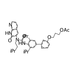 CC(=O)OCCCOc1cccc(-c2cc(C(C)C)c(NC(=O)N(CCC(C)C)c3cc4cccnc4[nH]c3=O)c(C(C)C)c2)c1